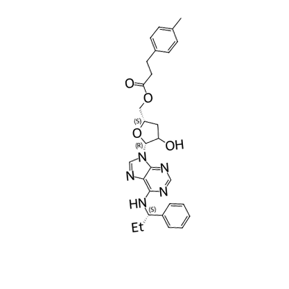 CC[C@H](Nc1ncnc2c1ncn2[C@@H]1O[C@H](COC(=O)CCc2ccc(C)cc2)CC1O)c1ccccc1